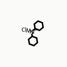 C1CCC([N-]C2CCCCC2)CC1.[Cl-].[Mg+2]